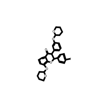 O=C1c2cccc(OC3CCCCO3)c2OC(c2ccc(I)cc2)C1c1cccc(OC2CCCCO2)c1